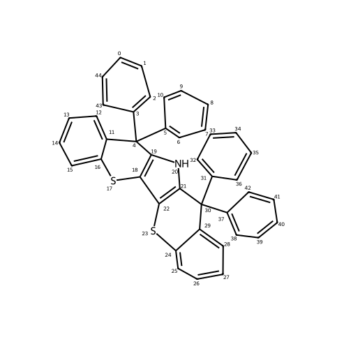 c1ccc(C2(c3ccccc3)c3ccccc3Sc3c2[nH]c2c3Sc3ccccc3C2(c2ccccc2)c2ccccc2)cc1